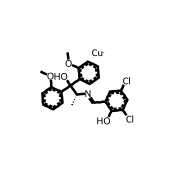 COc1ccccc1C(O)(c1ccccc1OC)[C@@H](C)N=Cc1cc(Cl)cc(Cl)c1O.[Cu]